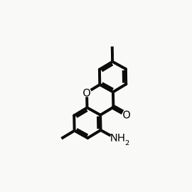 Cc1ccc2c(=O)c3c(N)cc(C)cc3oc2c1